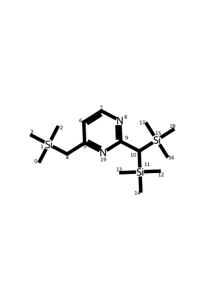 C[Si](C)(C)Cc1ccnc(C([Si](C)(C)C)[Si](C)(C)C)n1